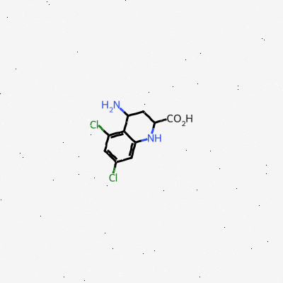 NC1CC(C(=O)O)Nc2cc(Cl)cc(Cl)c21